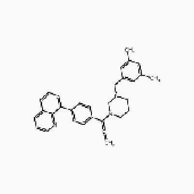 C=C=C(c1ccc(-c2cccc3cccnc23)cc1)N1CCCN(Cc2cc(C)cc(C)c2)C1